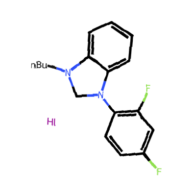 CCCCN1CN(c2ccc(F)cc2F)c2ccccc21.I